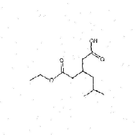 CCOC(=O)CC(CC(=O)O)CC(C)C